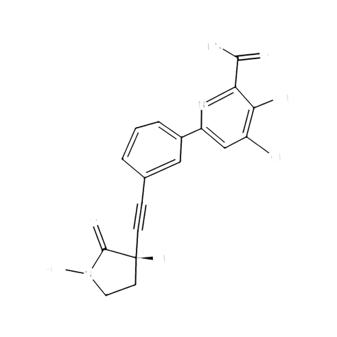 Cc1c(O)cc(-c2cccc(C#C[C@]3(O)CCN(C)C3=O)c2)nc1C(N)=O